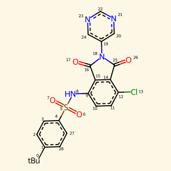 CC(C)(C)c1ccc(S(=O)(=O)Nc2ccc(Cl)c3c2C(=O)N(c2cncnc2)C3=O)cc1